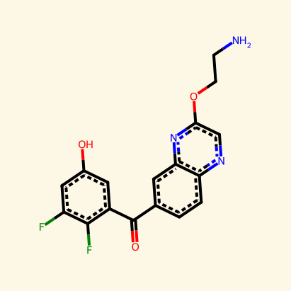 NCCOc1cnc2ccc(C(=O)c3cc(O)cc(F)c3F)cc2n1